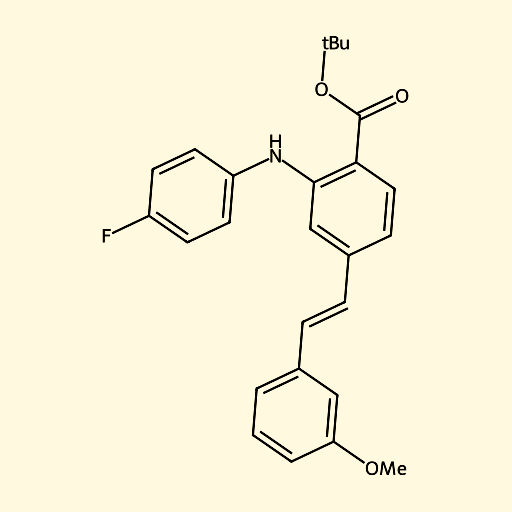 COc1cccc(C=Cc2ccc(C(=O)OC(C)(C)C)c(Nc3ccc(F)cc3)c2)c1